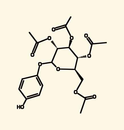 CC(=O)OC[C@H]1OC(Oc2ccc(O)cc2)[C@H](OC(C)=O)[C@@H](OC(C)=O)[C@@H]1OC(C)=O